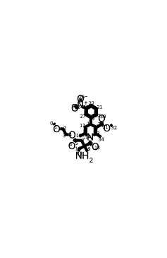 COCCOC(=O)CC(C)(CN)C(=O)N1C(C)=CC(c2cccc([N+](=O)[O-])c2)C(C(=O)OC)=C1C